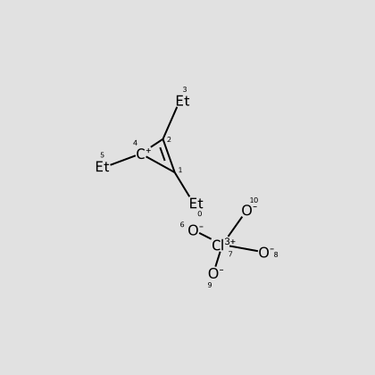 CCc1c(CC)[c+]1CC.[O-][Cl+3]([O-])([O-])[O-]